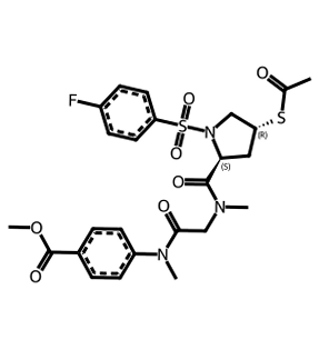 COC(=O)c1ccc(N(C)C(=O)CN(C)C(=O)[C@@H]2C[C@@H](SC(C)=O)CN2S(=O)(=O)c2ccc(F)cc2)cc1